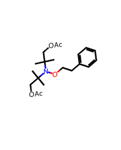 CC(=O)OCC(C)(C)N(OCCc1ccccc1)C(C)(C)COC(C)=O